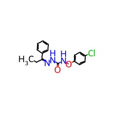 CCC(=NNC(=O)NOc1ccc(Cl)cc1)c1ccccc1